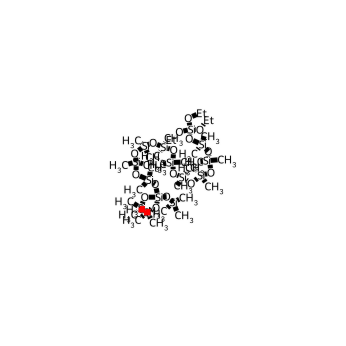 CCO[Si](OCC)(OCC)O[Si](C)(C)O[Si](C)(C)O[Si](C)(C)O[Si](C)(C)O[Si](C)(C)O[Si](C)(C)O[Si](C)(C)O[Si](C)(C)O[Si](C)(C)O[Si](O[Si](C)(C)C)(O[Si](C)(C)C)O[Si](C)(C)C